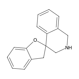 c1ccc2c(c1)CC1(CNCc3ccccc31)O2